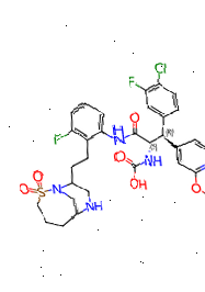 COc1cc([C@H](c2ccc(Cl)c(F)c2)[C@H](NC(=O)O)C(=O)Nc2cccc(F)c2CCC2CNC3CCCS(=O)(=O)N2C3)ccn1